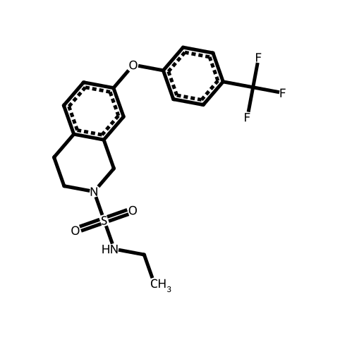 CCNS(=O)(=O)N1CCc2ccc(Oc3ccc(C(F)(F)F)cc3)cc2C1